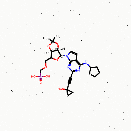 CC1(C)O[C@@H]2[C@H](O1)C(COCP(=O)(O)O)O[C@H]2n1ccc2c(NC3CCCC3)nc(C#CC3(O)CC3)nc21